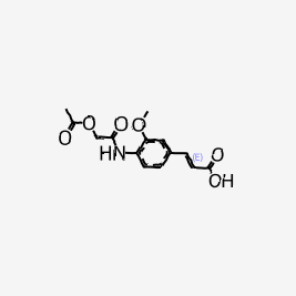 COc1cc(/C=C/C(=O)O)ccc1NC(=O)COC(C)=O